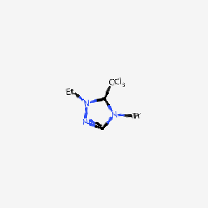 CCN1N=CN(C(C)C)C1C(Cl)(Cl)Cl